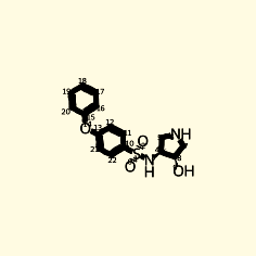 O=S(=O)(N[C@H]1CNC[C@@H]1O)c1ccc(Oc2ccccc2)cc1